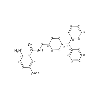 CSc1ccc(N)c(C(=O)NCC2CCN(C(c3ccccc3)c3ccccc3)CC2)c1